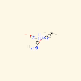 Cc1[nH]cnc1-c1ccc(C(CCN2CCC(O)CC2)NC(=O)c2nc3cc4c(nc3s2)CC[C@H](C(C)(C)C)C4)cc1